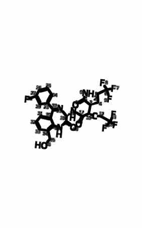 NC(=O)[C@@H](CCC(F)(F)F)[C@@H](CCC(F)(F)F)C(=O)N[C@H]1N=C(c2cccc(F)c2)c2cccc(CO)c2NC1=O